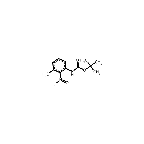 Cc1cccc(NC(=O)OC(C)(C)C)c1[N+](=O)[O-]